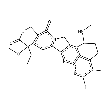 CCC1(OC)C(=O)OCc2c1cc1n(c2=O)Cc2c-1nc1cc(F)c(C)c3c1c2C(NC)CC3